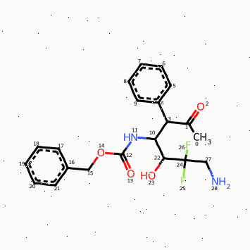 CC(=O)C(c1ccccc1)C(NC(=O)OCc1ccccc1)C(O)C(F)(F)CN